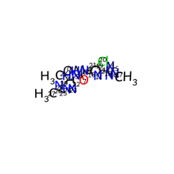 COC(C)c1c(NC(=O)Nc2cnc(-c3ncn(C)n3)c(Cl)c2)cnn2cc(C)nc12